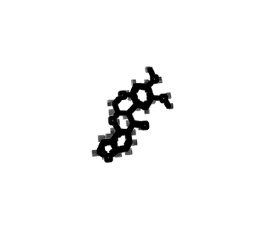 COc1cc2c(cc1OC)C1C(=O)c3ccc4occc4c3OC1CO2